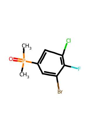 CP(C)(=O)c1cc(Cl)c(F)c(Br)c1